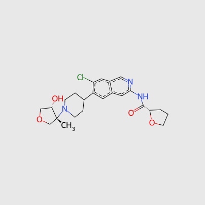 C[C@@]1(N2CCC(c3cc4cc(NC(=O)[C@@H]5CCCO5)ncc4cc3Cl)CC2)COC[C@@H]1O